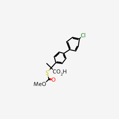 COC(=O)SC(C)(C(=O)O)c1ccc(-c2ccc(Cl)cc2)cc1